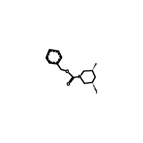 C[C@@H]1C[C@H](I)CN(C(=O)OCc2ccccc2)C1